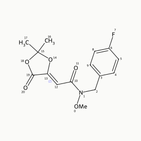 CON(Cc1ccc(F)cc1)C(=O)/C=C1\OC(C)(C)OC1=O